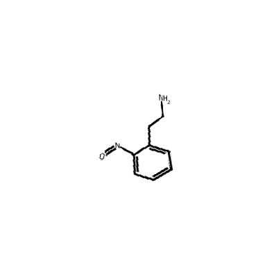 NCCc1ccccc1N=O